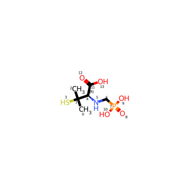 CC(C)(S)[C@H](NCP(=O)(O)O)C(=O)O